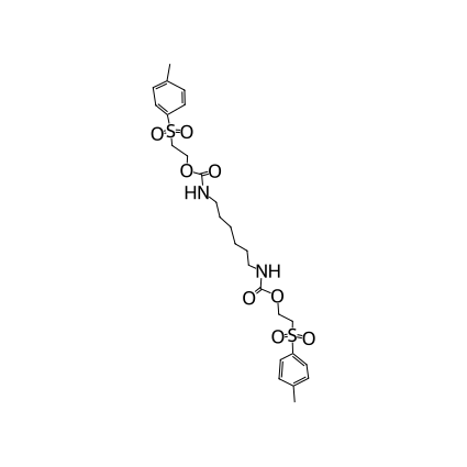 Cc1ccc(S(=O)(=O)CCOC(=O)NCCCCCCNC(=O)OCCS(=O)(=O)c2ccc(C)cc2)cc1